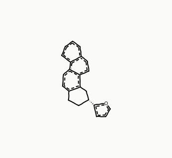 c1coc([C@@H]2CCc3ccc4c(ccc5ccccc54)c3C2)c1